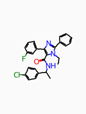 CCn1c(-c2ccccc2)nc(-c2cccc(F)c2)c1C(=O)NC(C)c1ccc(Cl)cc1